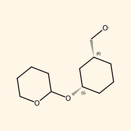 [O]C[C@@H]1CCC[C@H](OC2CCCCO2)C1